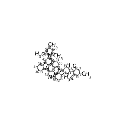 Cc1cc(C)c(-c2ccc3c(c2)c2ccccc2n3-c2ccc(C#N)cc2-c2ccncc2-n2c3ccccc3c3cc(-c4c(C)cc(C)cc4C)ccc32)c(C)c1